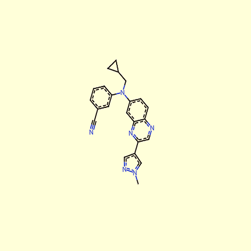 Cn1cc(-c2cnc3ccc(N(CC4CC4)c4cccc(C#N)c4)cc3n2)cn1